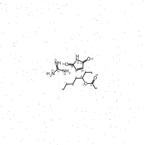 CCCCC(CC)OC(C)=O.N=C(N)N.O=C1C=CC(=O)N1